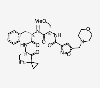 COC[C@H](NC(=O)c1cc(CN2CCOCC2)on1)C(=O)N[C@@H](Cc1ccccc1)C(=O)N[C@@H](CC(C)C)C(=O)C1(C)CC1